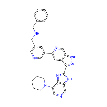 c1ccc(CNCc2cncc(-c3cc4c(-c5nc6c(N7CCCCC7)cncc6[nH]5)n[nH]c4cn3)c2)cc1